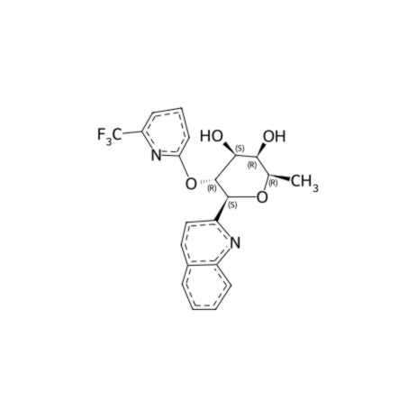 C[C@H]1O[C@@H](c2ccc3ccccc3n2)[C@H](Oc2cccc(C(F)(F)F)n2)[C@@H](O)[C@H]1O